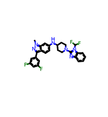 Cn1nc(-c2cc(F)cc(F)c2)c2ccc(NC3CCN(c4nc5ccccc5n4C(F)F)CC3)cc21